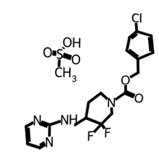 CS(=O)(=O)O.O=C(OCc1ccc(Cl)cc1)N1CCC(CNc2ncccn2)C(F)(F)C1